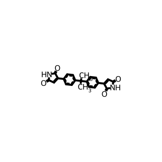 CC(C)(c1ccc(C2=CC(=O)NC2=O)cc1)c1ccc(C2=CC(=O)NC2=O)cc1